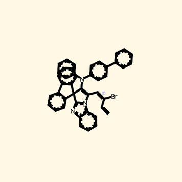 C=C/C(Br)=C\C1=C(N(c2ccccc2)c2ccc(-c3ccccc3)cc2)C2(c3ccccc3-c3ccccc32)c2nc3ccccc3n21